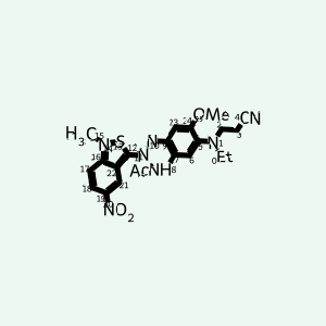 CCN(CCC#N)c1cc(NC(C)=O)c(N=Nc2s[n+](C)c3ccc([N+](=O)[O-])cc23)cc1OC